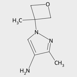 Cc1nn(C2(C)COC2)cc1N